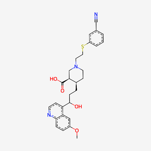 COc1ccc2nccc(C(O)CC[C@@H]3CCN(CCSc4cccc(C#N)c4)C[C@@H]3C(=O)O)c2c1